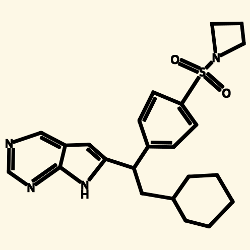 O=S(=O)(c1ccc(C(CC2CCCCC2)c2cc3cncnc3[nH]2)cc1)N1CCC1